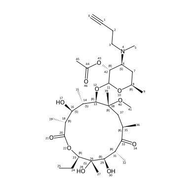 C#CCCN(C)[C@H]1C[C@@H](C)OC(O[C@@H]2[C@@H](C)[C@H](O)[C@@H](C)C(=O)O[C@H](CC)[C@@](C)(O)[C@H](O)[C@@H](C)C(=O)[C@H](C)C[C@@]2(C)OC)[C@@H]1OC(C)=O